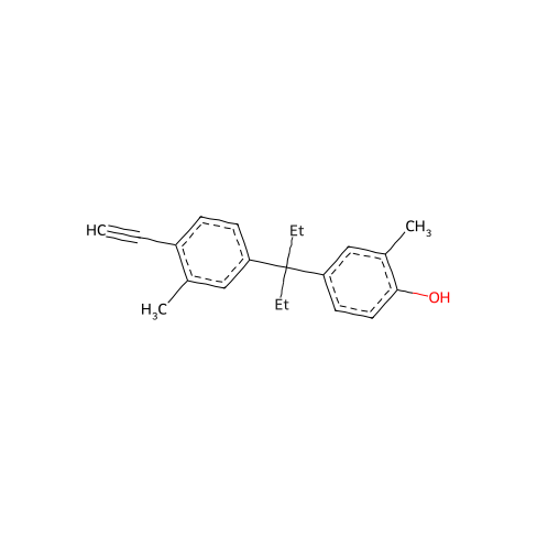 C#Cc1ccc(C(CC)(CC)c2ccc(O)c(C)c2)cc1C